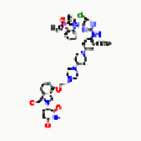 COc1cc(N2CCC(N3CCN(CCOc4cccc5c4CN(C4CCC(=O)NC4=O)C5=C=O)CC3)CC2)ccc1Nc1ncc(Cl)c(Nc2ccccc2P(C)(C)=O)n1